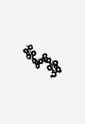 C=C/C=C\C(=C(C)C)c1cccc2c1oc1c(N(c3ccccc3)c3ccc4c5cccc6c7cc8c(cc7n(c4c3)c56)c3cccc4c5ccc(N(c6ccccc6)c6cccc7c6oc6c(-c9ccccc9C)cccc67)cc5n8c43)cccc12